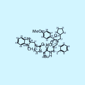 CC[C@H](C)[C@@H](C(=O)N[C@@H](Cc1ccccc1)[C@H](O)CN(CC1CCCC1)S(=O)(=O)c1ccc(OC)cc1)N1CCN(Cc2nc3ccccc3n2C)C1=O